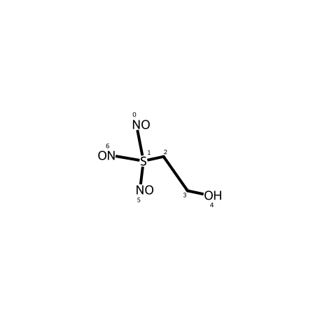 O=NS(CCO)(N=O)N=O